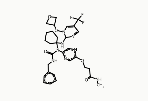 CNC(=O)CCOc1cnc(N(C(=O)NCc2ccccc2)C2(NC3N=CC(C(F)(F)F)=CN3OC3COC3)CCCCC2)cn1